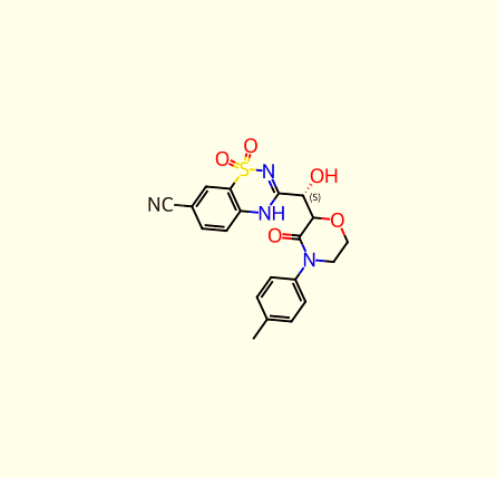 Cc1ccc(N2CCOC([C@@H](O)C3=NS(=O)(=O)c4cc(C#N)ccc4N3)C2=O)cc1